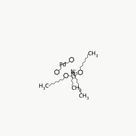 CCCCCCCCC1=C(c2cccc(CCCCCCCC)c2)[N+](=[N-])C(c2cccc(CCCCCCCC)c2)=C1CCCC.c1ccc(C[CH2][Pd][CH2]Cc2ccccc2)cc1